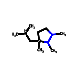 CN1CC[Si](C)(C[SiH](C)C)N1C